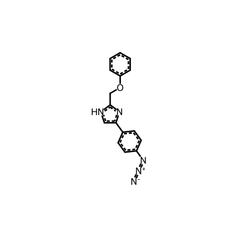 [N-]=[N+]=Nc1ccc(-c2c[nH]c(COc3ccccc3)n2)cc1